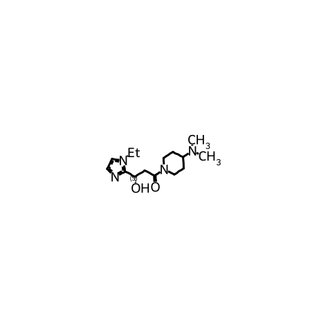 CCn1ccnc1[C@@H](O)CC(=O)N1CCC(N(C)C)CC1